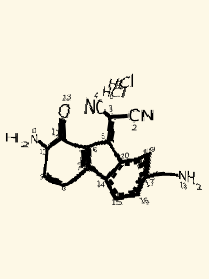 Cl.Cl.N#CC(C#N)=C1C2=C(C=CC(N)C2=O)c2ccc(N)cc21